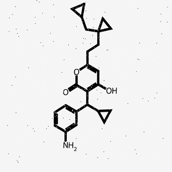 Nc1cccc(C(c2c(O)cc(CCC3(CC4CC4)CC3)oc2=O)C2CC2)c1